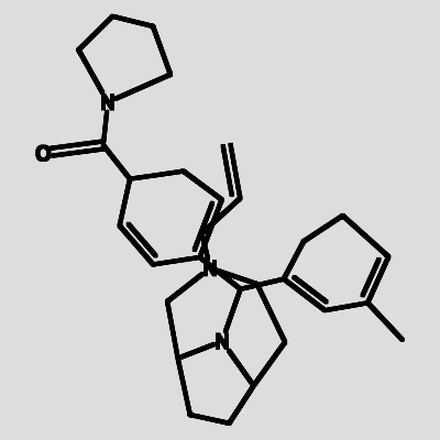 C=CCN1CCC2CCC(C1)N2C(C1=CCC(C(=O)N2CCCC2)C=C1)C1=CC(C)=CCC1